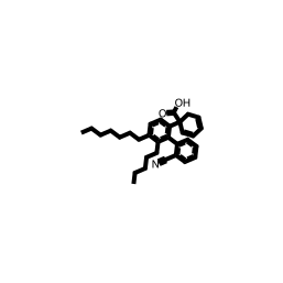 CCCCCCCc1ccc(C2(C(=O)O)C=CC=CC2)c(-c2ccccc2C#N)c1CCCCC